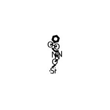 C[Si](C)(C)CCOCn1ncc(CS(=O)(=O)c2ccccc2)n1